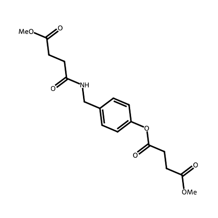 COC(=O)CCC(=O)NCc1ccc(OC(=O)CCC(=O)OC)cc1